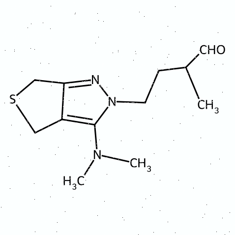 CC(C=O)CCn1nc2c(c1N(C)C)CSC2